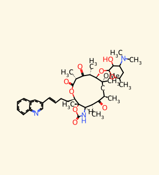 CO[C@]1(C)C[C@@H](C)C(=O)[C@H](C)[C@H]2NC(=O)O[C@]2(C)[C@@H](CC/C=C/c2cnc3ccccc3c2)OC(=O)[C@H](C)C(=O)[C@H](C)[C@H]1OC1OC(C)CC(N(C)C)C1O